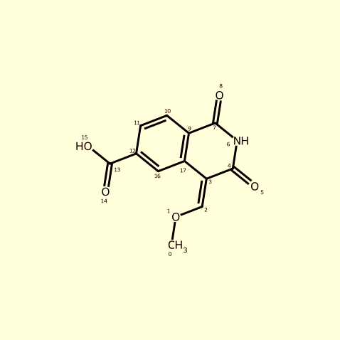 CO/C=C1/C(=O)NC(=O)c2ccc(C(=O)O)cc21